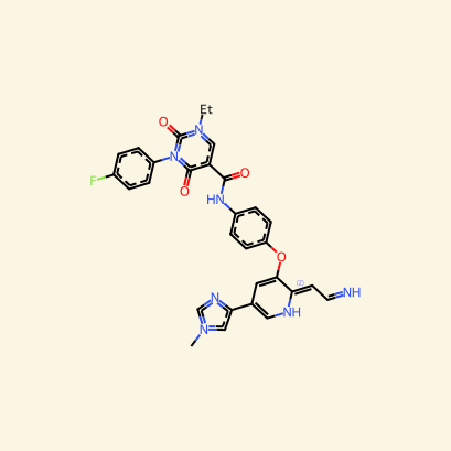 CCn1cc(C(=O)Nc2ccc(OC3=CC(c4cn(C)cn4)=CN/C3=C\C=N)cc2)c(=O)n(-c2ccc(F)cc2)c1=O